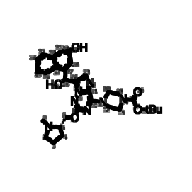 CN1CCC[C@H]1COc1nc(N2CCN(C(=O)OC(C)(C)C)CC2)c2ncc(C(O)c3cc(O)cc4ccccc34)n2n1